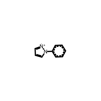 C1=CN(c2ccccc2)[N+]=C1